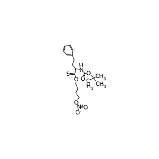 CC(C)(C)OC(=O)NC(CCc1ccccc1)C(=S)OCCCCO[N+](=O)[O-]